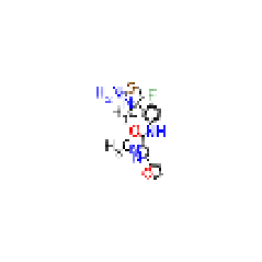 Cn1nc(-c2ccco2)cc1C(=O)Nc1ccc(F)c(C2(C)CCSC(N)=N2)c1